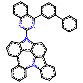 c1ccc(-c2cccc(-c3nc(-n4c5cccc6c7ccccc7n7c8ccccc8c8ccc4c(c65)c87)nc4ccccc34)c2)cc1